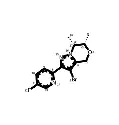 C[C@@H]1OCc2c(Br)c(-c3ccc(F)cn3)nn2[C@@H]1C